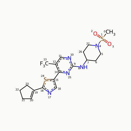 CS(=O)(=O)N1CCC(Nc2ncc(C(F)(F)F)c(-c3cnc(C4=CCCC4)s3)n2)CC1